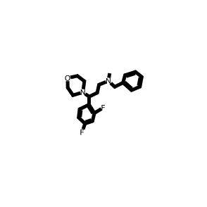 CN(CCC(c1ccc(F)cc1F)N1CCOCC1)Cc1ccccc1